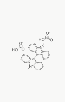 C[n+]1c2ccccc2c(-c2c3ccccc3[n+](C)c3ccccc23)c2ccccc21.O=[N+]([O-])O.O=[N+]([O-])O